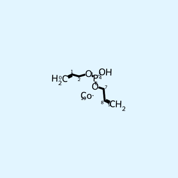 C=CCOP(O)OCC=C.[Co]